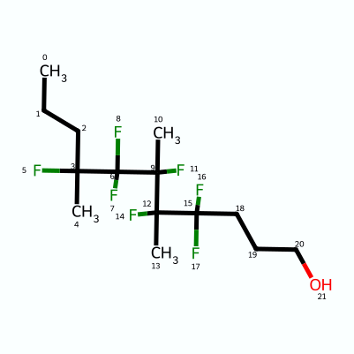 CCCC(C)(F)C(F)(F)C(C)(F)C(C)(F)C(F)(F)CCCO